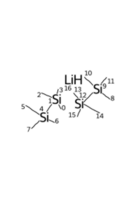 C[Si](C)(C)[Si](C)(C)C.C[Si](C)(C)[Si](C)(C)C.[LiH]